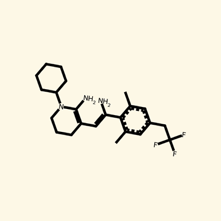 Cc1cc(CC(F)(F)F)cc(C)c1/C(N)=C/C1=C(N)N(C2CCCCC2)CCC1